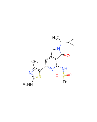 CCS(=O)(=O)Nc1nc(-c2sc(NC(C)=O)nc2C)cc2c1C(=O)N(C(C)C1CC1)C2